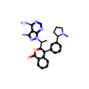 CC(c1oc(=O)c2ccccc2c1-c1cccc(C2CCCN2C)c1)n1nc(I)c2c(N)ncnc21